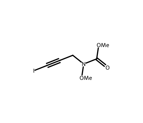 COC(=O)N(CC#CI)OC